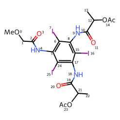 COCC(=O)Nc1c(I)c(NC(=O)C(C)OC(C)=O)c(I)c(NC(=O)C(C)OC(C)=O)c1I